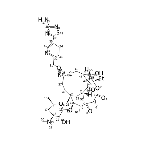 CC[C@H]1OC(=O)[C@H](C)C(=O)[C@H](C)[C@@H](O[C@@H]2O[C@H](C)C[C@H](N(C)C)[C@H]2O)[C@]2(C)CC/C(=N/OCc3ccc(-c4nc(N)ns4)cn3)CC[C@H]([C@@H](C)C(=O)[C@H](C)C2)[C@]1(C)O